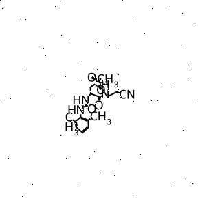 Cc1cccc(C)c1NC(=O)NC(CS(C)(=O)=O)C(=O)NCCC#N